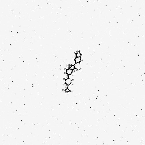 CC(C)c1c(-c2ccn3nncc3c2)[nH]c2ccc(C3CCN(C4COC4)CC3)cc12